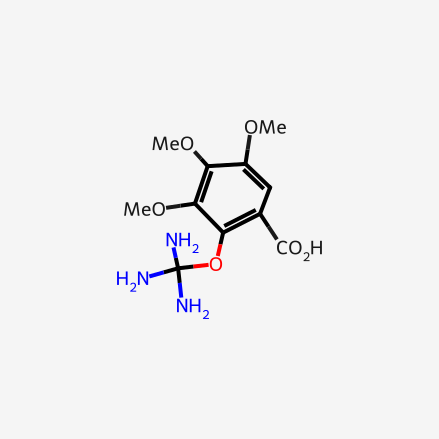 COc1cc(C(=O)O)c(OC(N)(N)N)c(OC)c1OC